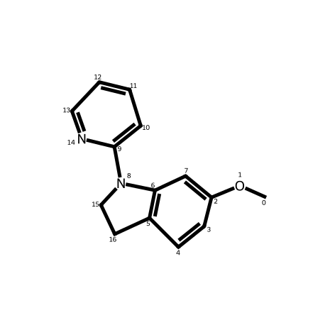 COc1ccc2c(c1)N(c1ccccn1)CC2